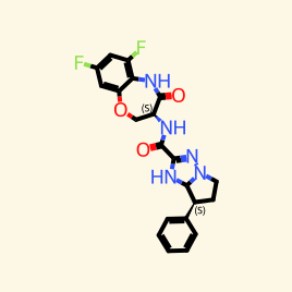 O=C(N[C@H]1COc2cc(F)cc(F)c2NC1=O)C1=NN2CC[C@@H](c3ccccc3)C2N1